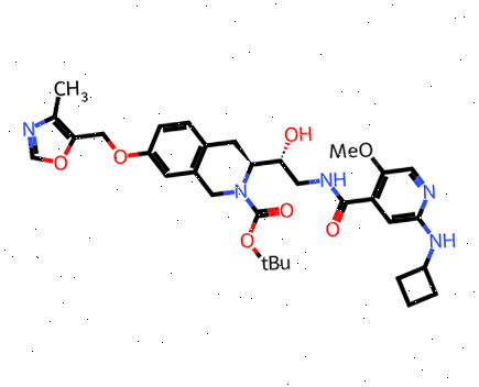 COc1cnc(NC2CCC2)cc1C(=O)NC[C@@H](O)[C@@H]1Cc2ccc(OCc3ocnc3C)cc2CN1C(=O)OC(C)(C)C